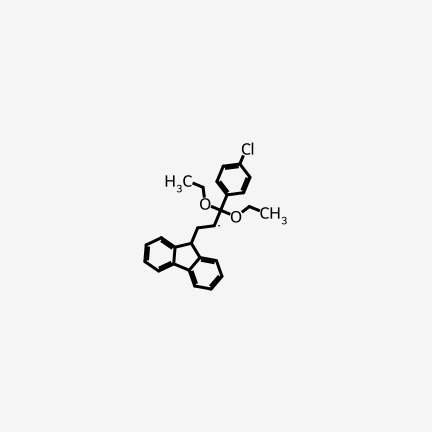 CCOC([CH]CC1c2ccccc2-c2ccccc21)(OCC)c1ccc(Cl)cc1